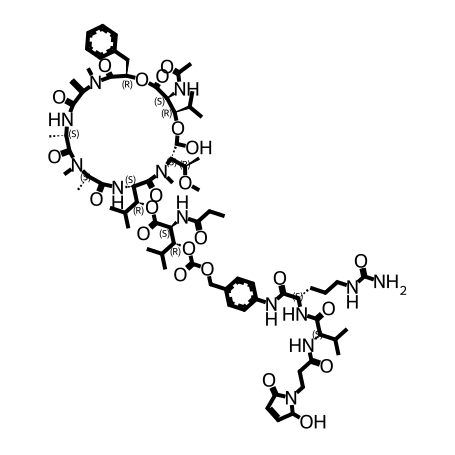 C=C1C(=O)N[C@@H](C)C(=O)N(C)[C@@H](C)C(=O)N[C@@H]([C@H](OC(=O)[C@@H](NC(=O)CC)[C@H](OC(=O)OCc2ccc(NC(=O)[C@H](CCCNC(N)=O)NC(=O)[C@@H](NC(=O)CCN3C(=O)C=CC3O)C(C)C)cc2)C(C)C)C(C)C)C(=O)N(C)[C@@H]([C@@H](C)OC)C(O)O[C@H](C(C)C)[C@H](NC(C)=O)C(=O)O[C@H](Cc2ccccc2)C(=O)N1C